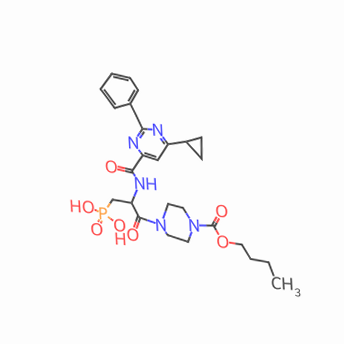 CCCCOC(=O)N1CCN(C(=O)C(CP(=O)(O)O)NC(=O)c2cc(C3CC3)nc(-c3ccccc3)n2)CC1